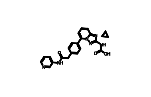 C1CC1.O=C(O)Nc1nc2cccc(-c3ccc(CC(=O)Nc4cccnc4)cc3)n2n1